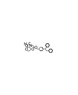 CN(CC(=O)OCC1C=CC(C(Cc2ccccc2)c2ccccc2)=CC1)C1CCCOC1=O